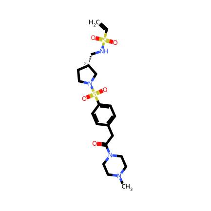 C=CS(=O)(=O)NC[C@H]1CCN(S(=O)(=O)c2ccc(CC(=O)N3CCN(C)CC3)cc2)C1